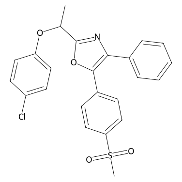 CC(Oc1ccc(Cl)cc1)c1nc(-c2ccccc2)c(-c2ccc(S(C)(=O)=O)cc2)o1